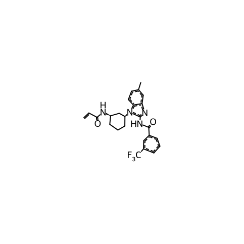 C=CC(=O)N[C@@H]1CCC[C@H](n2c(NC(=O)c3cccc(C(F)(F)F)c3)nc3cc(C)ccc32)C1